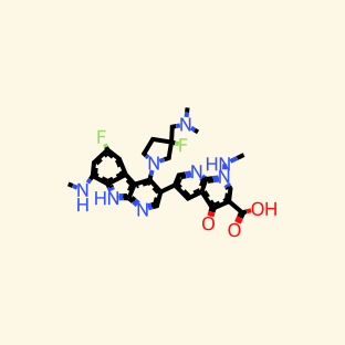 CNc1cc(F)cc2c1[nH]c1ncc(-c3cnc4c(c3)c(=O)c(C(=O)O)cn4NC)c(N3CCC(F)(CN(C)C)C3)c12